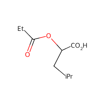 CCC(=O)OC(CC(C)C)C(=O)O